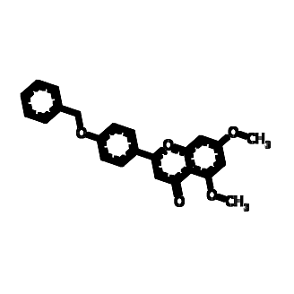 COc1cc(OC)c2c(=O)cc(-c3ccc(OCc4ccccc4)cc3)oc2c1